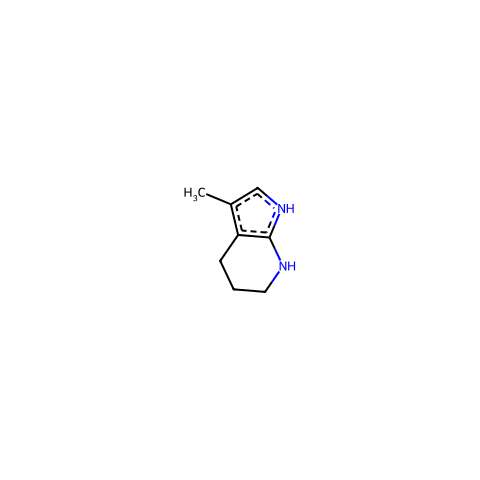 Cc1c[nH]c2c1CCCN2